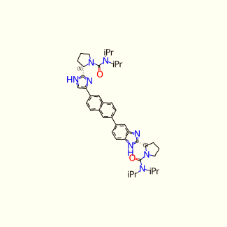 CC(C)N(C(=O)N1CCC[C@H]1c1nc(-c2ccc3cc(-c4ccc5[nH]c([C@@H]6CCCN6C(=O)N(C(C)C)C(C)C)nc5c4)ccc3c2)c[nH]1)C(C)C